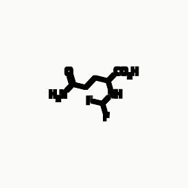 NC(=O)CCC(NC(F)F)C(=O)O